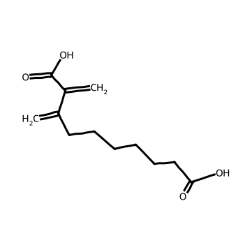 C=C(CCCCCCC(=O)O)C(=C)C(=O)O